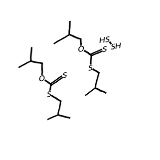 CC(C)COC(=S)SCC(C)C.CC(C)COC(=S)SCC(C)C.SS